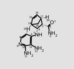 NC(=O)[C@@H]1[C@H](Nc2ccnc(N)c2N)[C@H]2C=C[C@@H]1C2